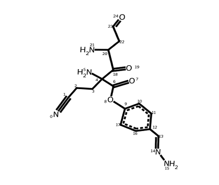 N#CCCC(N)(C(=O)Oc1ccc(C=NN)cc1)C(=O)C(N)CC=O